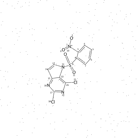 O=[N+]([O-])c1ccccc1S(=O)(=O)n1ccc2nc(Cl)nc(Cl)c21